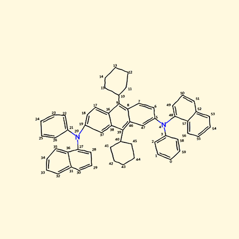 c1ccc(N(c2ccc3c(C4CCCCC4)c4ccc(N(c5ccccc5)c5cccc6ccccc56)cc4c(C4CCCCC4)c3c2)c2cccc3ccccc23)cc1